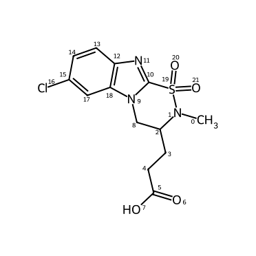 CN1C(CCC(=O)O)Cn2c(nc3ccc(Cl)cc32)S1(=O)=O